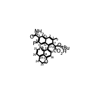 Cc1cc2cc(C(N)=O)c(F)cc2c(-c2ccc3c4c(ccnc24)CCO3)c1C(OC(C)(C)C)C(=O)O